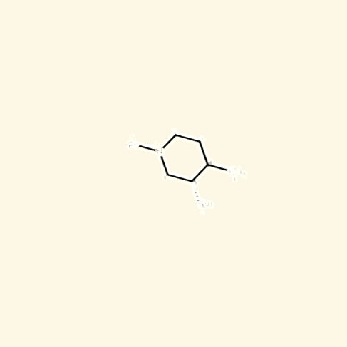 CCN1CCC(C)[C@H](C(C)(C)C)C1